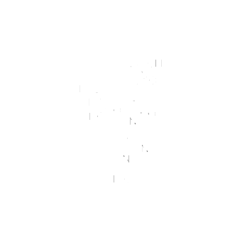 C[C@H](Oc1ccc(S(C)(=O)=O)cc1C(=O)N1CC2CC2(c2nccc(C(F)(F)F)n2)C1)C(C)(F)F